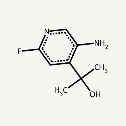 CC(C)(O)c1cc(F)ncc1N